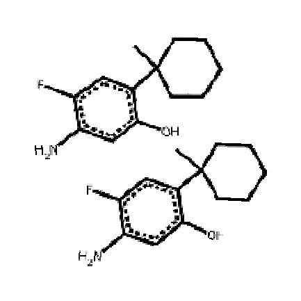 CC1(c2cc(F)c(N)cc2O)CCCCC1.CC1(c2cc(F)c(N)cc2O)CCCCC1